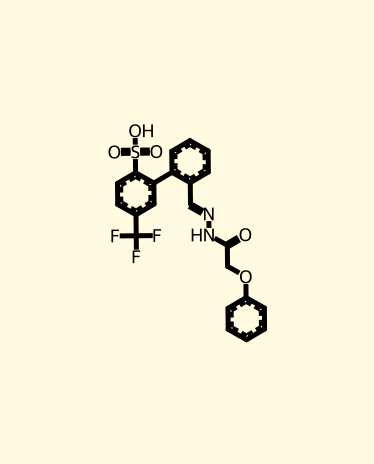 O=C(COc1ccccc1)NN=Cc1ccccc1-c1cc(C(F)(F)F)ccc1S(=O)(=O)O